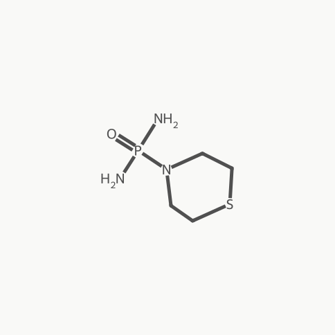 NP(N)(=O)N1CCSCC1